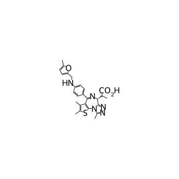 Cc1ccc(CNc2ccc(C3=N[C@@H](C(C)C(=O)O)c4nnc(C)n4-c4sc(C)c(C)c43)cc2)o1